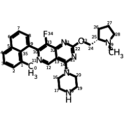 Cc1cccc2cccc(-c3ncc4c(N5CCNCC5)nc(OC[C@@H]5CCCN5C)nc4c3F)c12